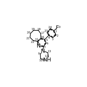 Fc1ccc(-c2cc(N3CCNCC3)nc3c2CCCCCC3)cc1